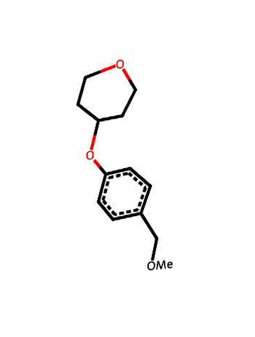 COCc1ccc(OC2CCOCC2)cc1